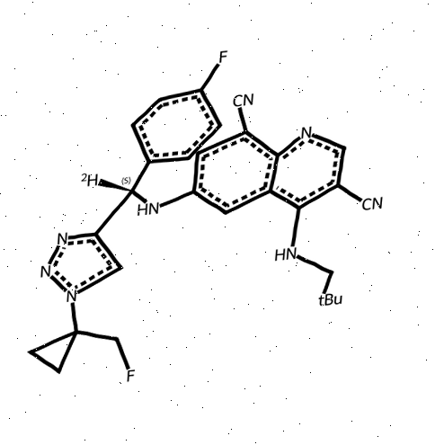 [2H][C@](Nc1cc(C#N)c2ncc(C#N)c(NCC(C)(C)C)c2c1)(c1ccc(F)cc1)c1cn(C2(CF)CC2)nn1